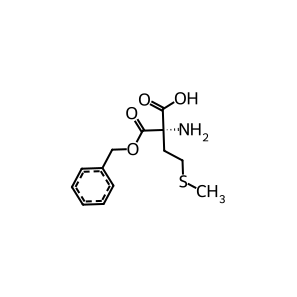 CSCC[C@](N)(C(=O)O)C(=O)OCc1ccccc1